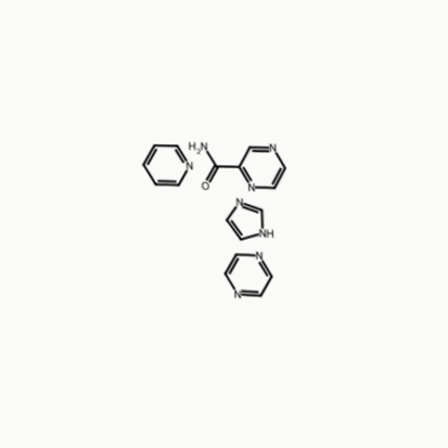 NC(=O)c1cnccn1.c1c[nH]cn1.c1ccncc1.c1cnccn1